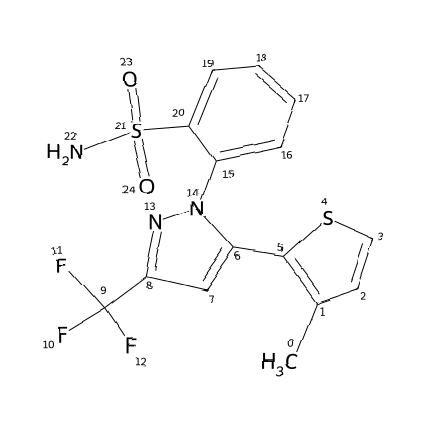 Cc1ccsc1-c1cc(C(F)(F)F)nn1-c1ccccc1S(N)(=O)=O